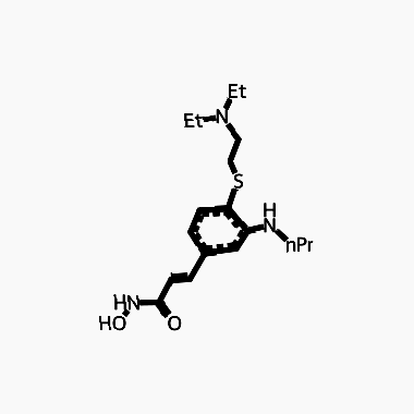 CCCNc1cc(/C=C/C(=O)NO)ccc1SCCN(CC)CC